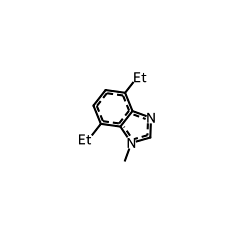 CCc1ccc(CC)c2c1ncn2C